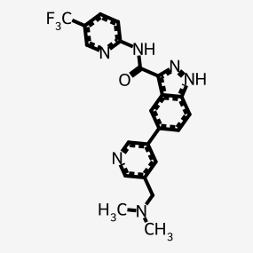 CN(C)Cc1cncc(-c2ccc3[nH]nc(C(=O)Nc4ccc(C(F)(F)F)cn4)c3c2)c1